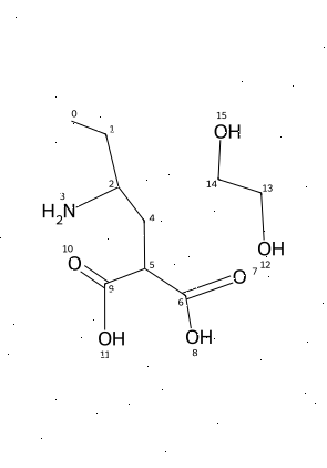 CCC(N)CC(C(=O)O)C(=O)O.OCCO